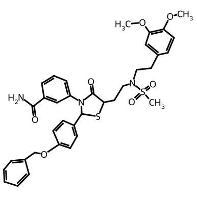 COc1ccc(CCN(CCC2SC(c3ccc(OCc4ccccc4)cc3)N(c3cccc(C(N)=O)c3)C2=O)S(C)(=O)=O)cc1OC